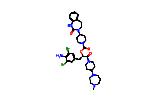 CN1CCCN(C2CCN(C(=O)[C@@H](Cc3cc(Br)c(N)c(Br)c3)OC(=O)N3CCC(N4CCc5ccccc5NC4=O)CC3)CC2)CC1